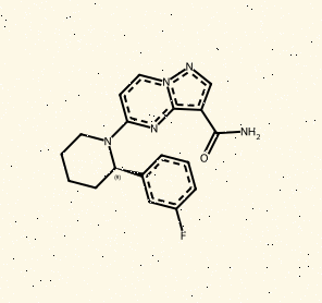 NC(=O)c1cnn2ccc(N3CCCC[C@@H]3c3cccc(F)c3)nc12